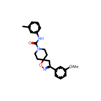 COc1cccc(C2=NOC3(CCN(C(=O)Nc4cccc(C)c4)CC3)C2)c1